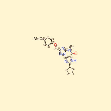 CCn1c(=O)c2[nH]c(C3CCCC3)nc2n2nc(COc3ccc(OC)cc3)nc12